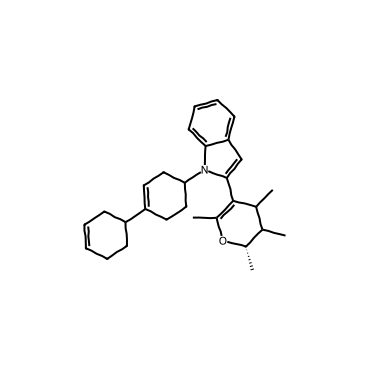 CC1=C(c2cc3ccccc3n2C2CC=C(C3CC=CCC3)CC2)C(C)C(C)[C@H](C)O1